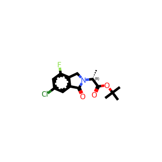 C[C@H](C(=O)OC(C)(C)C)N1Cc2c(F)cc(Cl)cc2C1=O